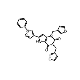 O=c1c2[nH]c(-c3cnn(-c4ccccc4)c3)cc2n(Cc2ccoc2)c(=O)n1Cc1ccoc1